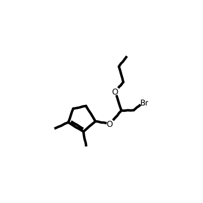 CCCOC(CBr)OC1CCC(C)=C1C